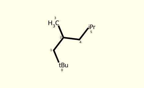 [CH2]C(C)(C)CC(C)CC(C)C